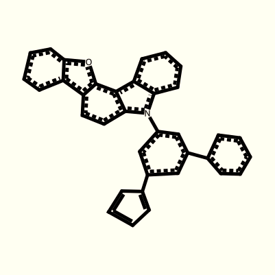 C1=CC=C(c2cc(-c3ccccc3)cc(-n3c4ccccc4c4c5oc6ccccc6c5ccc43)c2)C=1